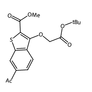 COC(=O)c1sc2cc(C(C)=O)ccc2c1OCC(=O)OC(C)(C)C